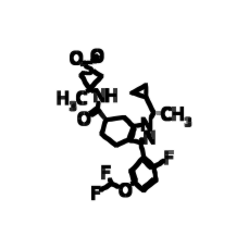 C[C@@H](C1CC1)n1nc(-c2cc(OC(F)F)ccc2F)c2c1C[C@H](C(=O)NC1(C)CS(=O)(=O)C1)CC2